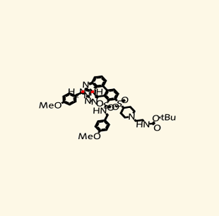 COc1ccc(CNS(=O)(=O)c2c(S(=O)(=O)C3CCN(CCNC(=O)OC(C)(C)C)CC3)ccc(-c3cccc4nc(N)[nH]c34)c2-c2nnn(Cc3ccc(OC)cc3)n2)cc1